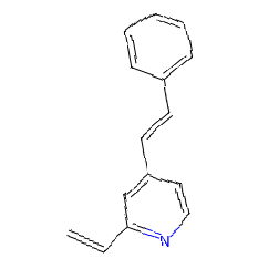 C=Cc1cc(C=Cc2ccccc2)ccn1